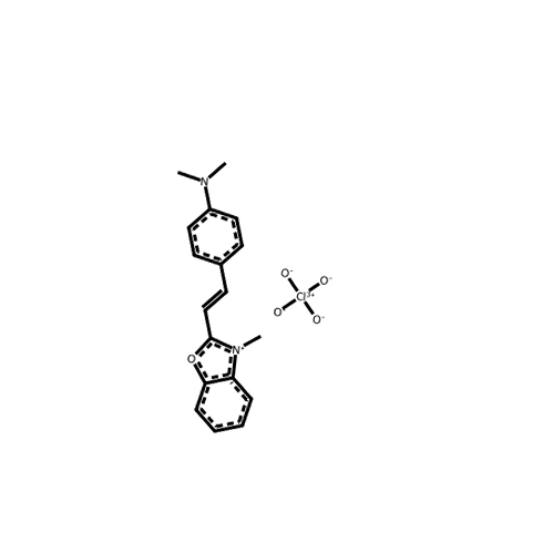 CN(C)c1ccc(/C=C/c2oc3ccccc3[n+]2C)cc1.[O-][Cl+3]([O-])([O-])[O-]